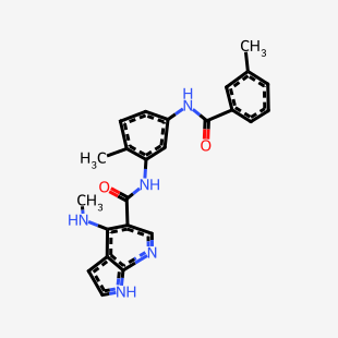 CNc1c(C(=O)Nc2cc(NC(=O)c3cccc(C)c3)ccc2C)cnc2[nH]ccc12